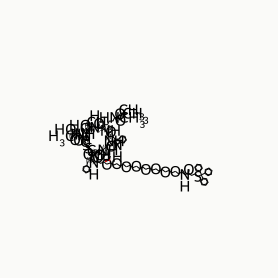 C[C@@H](O)[C@@H]1NC(=O)[C@H](CCCCNC(=O)OC(C)(C)C)NC(=O)[C@@H](Cc2c[nH]c3ccccc23)NC(=O)[C@H](Cc2ccccc2)NC(=O)[C@@H](NC(=O)[C@@H](Cc2ccccc2)NC(=O)CCOCCOCCOCCOCCOCCOCCOCCOCCNC(=O)CCSC(c2ccccc2)(c2ccccc2)c2ccccc2)CSSC[C@@H](C(=O)N[C@H](CO)[C@@H](C)O)NC1=O